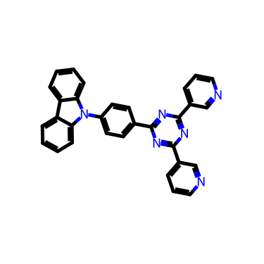 c1cncc(-c2nc(-c3ccc(-n4c5ccccc5c5ccccc54)cc3)nc(-c3cccnc3)n2)c1